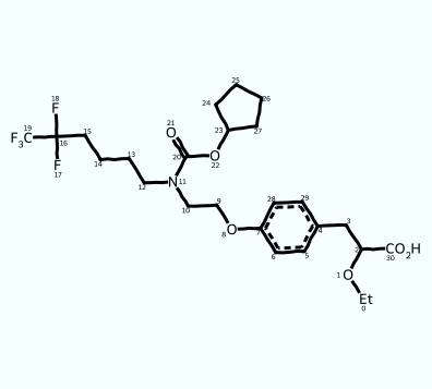 CCOC(Cc1ccc(OCCN(CCCCC(F)(F)C(F)(F)F)C(=O)OC2CCCC2)cc1)C(=O)O